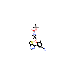 Cc1cc(C#N)cc(-c2ncnc3ccsc23)c1OCC1(C)CN(C(=O)OC(C)(C)C)C1